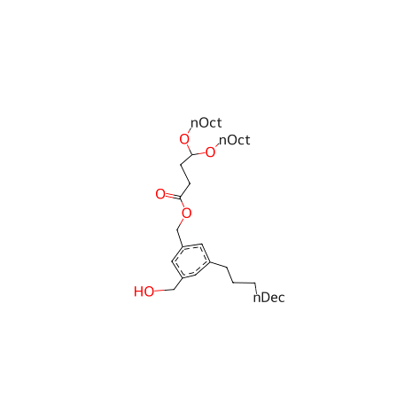 CCCCC[CH]CCCCCCCc1cc(CO)cc(COC(=O)CCC(OCCCCCCCC)OCCCCCCCC)c1